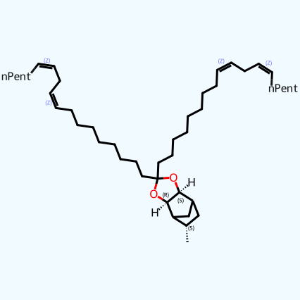 CCCCC/C=C\C/C=C\CCCCCCCCC1(CCCCCCCC/C=C\C/C=C\CCCCC)O[C@@H]2C3CC(C[C@@H]3C)[C@@H]2O1